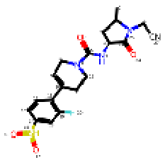 CC1C[C@H](NC(=O)N2CC=C(c3ccc([SH](=O)=O)cc3F)CC2)C(=O)N1CC#N